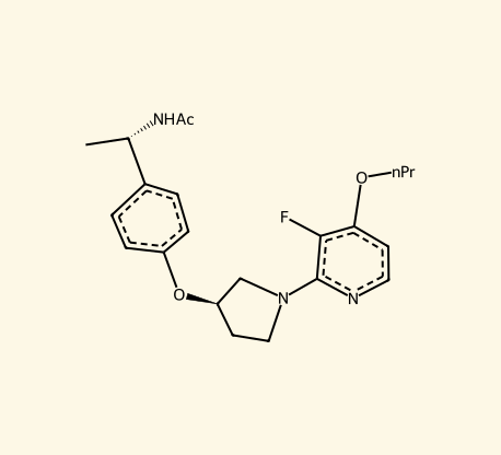 CCCOc1ccnc(N2CC[C@@H](Oc3ccc([C@H](C)NC(C)=O)cc3)C2)c1F